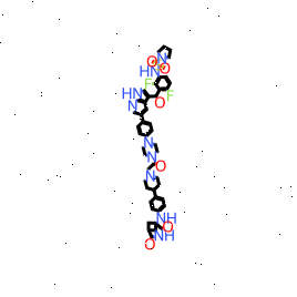 O=C(c1c(F)ccc(NS(=O)(=O)N2CCCC2)c1F)c1c[nH]c2ncc(-c3ccc(N4CCN(C(=O)CN5CCC(c6ccc(NC78CC(C7)C(=O)NC8=O)cc6)CC5)CC4)cc3)cc12